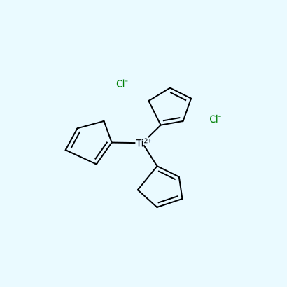 C1=CC[C]([Ti+2]([C]2=CC=CC2)[C]2=CC=CC2)=C1.[Cl-].[Cl-]